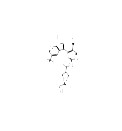 CC(Nc1ncc(C#N)c(-c2c[nH]c3ncc(C(F)(F)F)cc23)n1)C1CN(C(=O)CN)C1